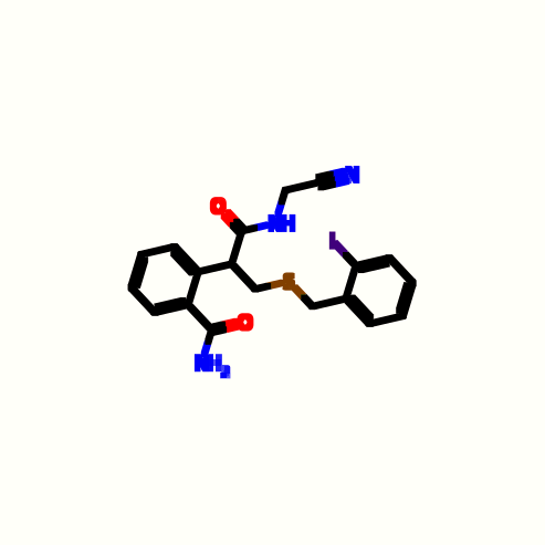 N#CCNC(=O)C(CSCc1ccccc1I)c1ccccc1C(N)=O